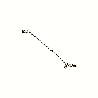 CCCCCCCCCCCC(=O)OCCCCCCCCCCCCCCCCCCCCCCCCCCCCCCCCCCC(=O)O